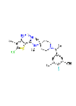 [2H]c1cc(C([2H])N2CCC([2H])(N([2H])c3ncnc4c([2H])c(Cl)sc34)CC2)cc(C#N)c1F